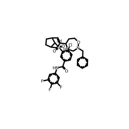 O=C(Nc1cc(F)c(F)c(F)c1)c1ccc(Cl)c(S(=O)(=O)[C@@H]2C3C=C(C4CCON(Cc5ccccc5)CN4)CC2CC3)c1